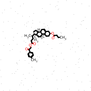 CCCC(=O)O[C@H]1CC[C@@]2(C)C(=CCC3C2CCC2(C)[C@@H]([C@H](C)CCC(=O)OCC(=O)c4ccc(C)cc4)CC[C@@H]32)C1